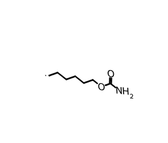 [CH2]CCCCCOC(N)=O